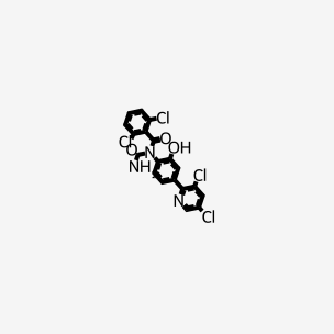 NC(=O)N(C(=O)c1c(Cl)cccc1Cl)c1ccc(-c2ncc(Cl)cc2Cl)cc1O